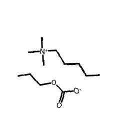 CCCCC[N+](C)(C)C.CCCOC(=O)[O-]